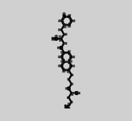 N#CCCC(=O)OCCCc1ccc2cc(OC[C@@H](O)CCc3cccnc3)ccc2c1